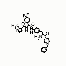 Cn1nccc1C(=O)NC(C(=O)Nc1ccc(CC(N)C(=O)N2CCN(Cc3ccccc3)CC2)cc1)C1CCC(F)(F)CC1